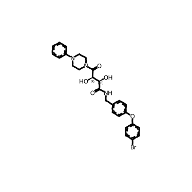 O=C(NCc1ccc(Oc2ccc(Br)cc2)cc1)[C@H](O)[C@@H](O)C(=O)N1CCN(c2ccccc2)CC1